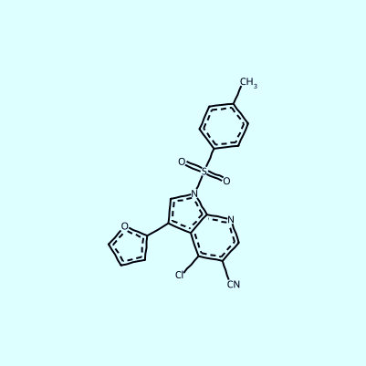 Cc1ccc(S(=O)(=O)n2cc(-c3ccco3)c3c(Cl)c(C#N)cnc32)cc1